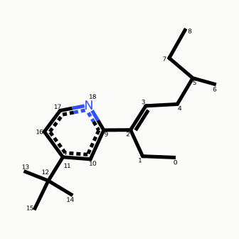 CC/C(=C\CC(C)CC)c1cc(C(C)(C)C)ccn1